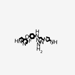 CNC1CCN(c2cc(Nc3ccc(Oc4ccnc5[nH]ccc45)c(F)c3)nc(N)n2)C1